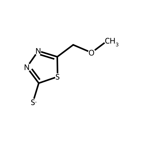 COCc1nnc([S])s1